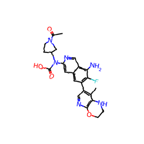 CC(=O)N1CCC(N(C(=O)O)c2cc3cc(-c4cnc5c(c4C)NCCO5)c(F)c(N)c3cn2)C1